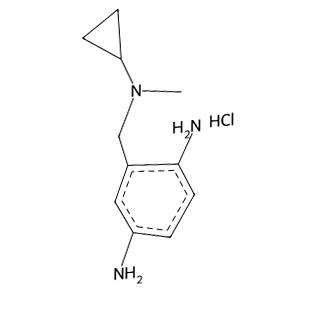 CN(Cc1cc(N)ccc1N)C1CC1.Cl